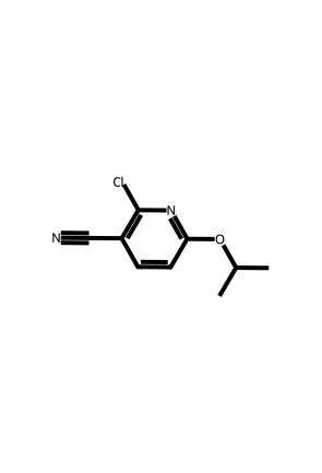 CC(C)Oc1ccc(C#N)c(Cl)n1